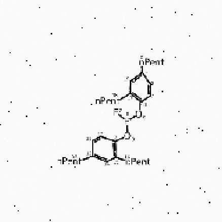 CCCCCc1ccc(OP(F)Oc2ccc(CCCCC)cc2CCCCC)c(CCCCC)c1